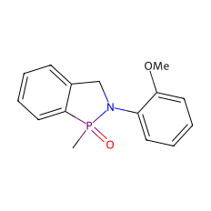 COc1ccccc1N1Cc2ccccc2P1(C)=O